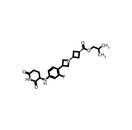 CC(C)COC(=O)[C@H]1C[C@@H](N2CC(c3ccc(NC4CCC(=O)NC4=O)cc3F)C2)C1